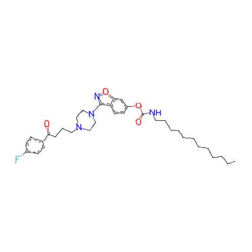 CCCCCCCCCCCCNC(=O)Oc1ccc2c(N3CCN(CCCC(=O)c4ccc(F)cc4)CC3)noc2c1